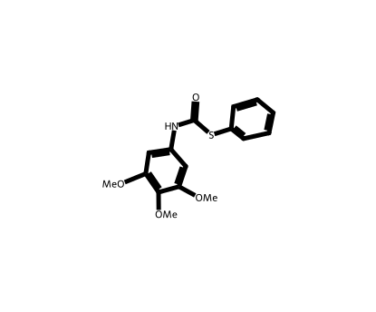 COc1cc(NC(=O)Sc2ccccc2)cc(OC)c1OC